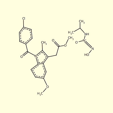 CC(C)N[N+]([O-])=NO.COC(=O)Cc1c(C)n(C(=O)c2ccc(Cl)cc2)c2ccc(OC)cc12